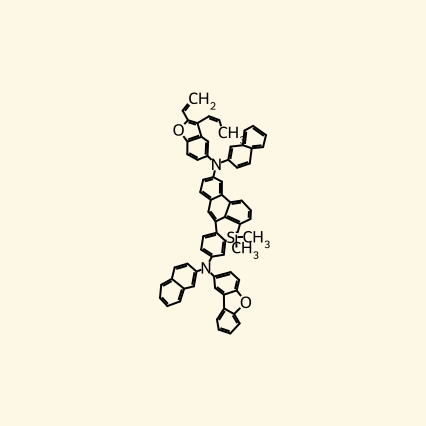 C=Cc1oc2ccc(N(c3ccc4ccccc4c3)c3ccc4cc5c6c(cccc6c4c3)[Si](C)(C)c3cc(N(c4ccc6ccccc6c4)c4ccc6oc7ccccc7c6c4)ccc3-5)cc2c1/C=C\C